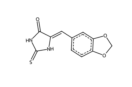 O=C1NC(=S)N/C1=C\c1ccc2c(c1)OCO2